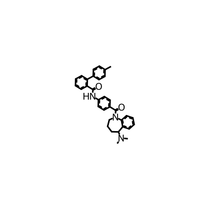 Cc1ccc(-c2ccccc2C(=O)Nc2ccc(C(=O)N3CCCC(N(C)C)c4ccccc43)cc2)cc1